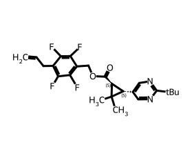 C=CCc1c(F)c(F)c(COC(=O)[C@H]2[C@H](c3cnc(C(C)(C)C)nc3)C2(C)C)c(F)c1F